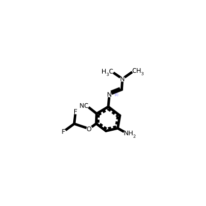 CN(C)/C=N/c1cc(N)cc(OC(F)F)c1C#N